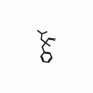 CC(C)CC(C)(C=O)Cc1ccccc1